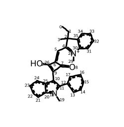 CCC1(C)C(/C=C2\C(=O)C(c3c(-c4ccccc4)n(C)c4ccccc34)=C2O)=[N+](C)c2ccccc21